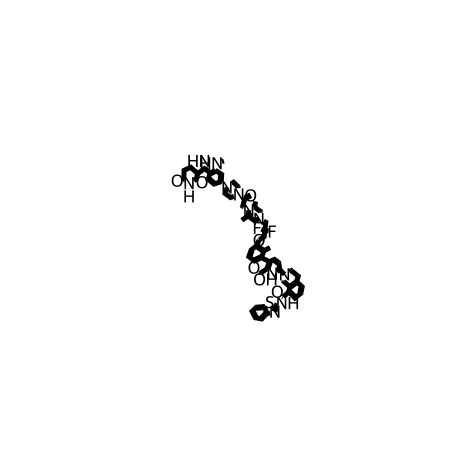 CNc1cc(N2CCN(C(=O)CN3C(C)CN(CC(F)(F)COc4cccc(-c5ccc(N6CCc7cccc(C(=O)Nc8nc9ccccc9s8)c7C6)nc5C(=O)O)c4C)CC3C)CC2)ccc1C(=N)C1CCC(=O)NC1=O